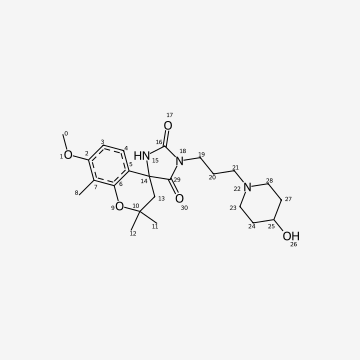 COc1ccc2c(c1C)OC(C)(C)CC21NC(=O)N(CCCN2CCC(O)CC2)C1=O